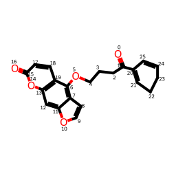 O=C(CCCOc1c2ccoc2cc2oc(=O)ccc12)C1=CCCC=C1